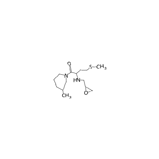 CSCCC(NCC1CO1)C(=O)N1CCCC(C)C1